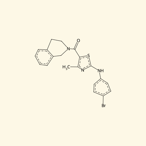 Cc1nc(Nc2ccc(Br)cc2)sc1C(=O)N1CCc2ccccc2C1